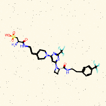 NC(CS(=O)(=O)O)C(=O)NCCC1CCN(c2cc(N3CC[C@H]3C(=O)NCCc3ccc(C(F)(F)F)cc3)nc(C(F)(F)F)n2)CC1